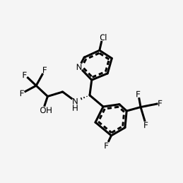 OC(CN[C@@H](c1cc(F)cc(C(F)(F)F)c1)c1ccc(Cl)cn1)C(F)(F)F